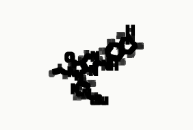 C=CCn1c(=O)c2cnc(Nc3ccc4c(c3)CCNC4)nc2n1-c1cn(C(C)(C)C)cn1